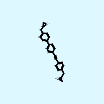 C(#Cc1ccc(-c2ccc(CC3CO3)cc2)cc1)c1ccc(CC2CO2)cc1